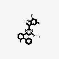 CC1C=CC=C(c2cc(N)nc(-c3c[nH]c4c(F)cc(F)cc34)n2)C1c1ccccc1